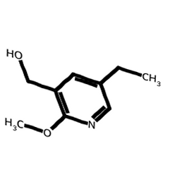 CCc1cnc(OC)c(CO)c1